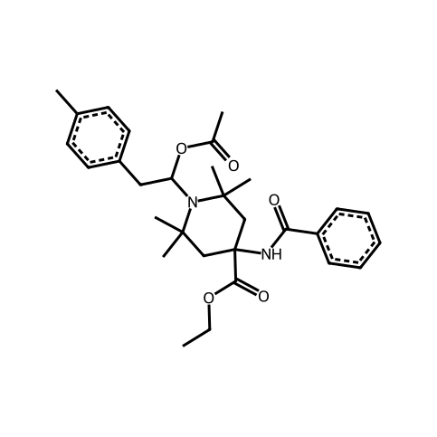 CCOC(=O)C1(NC(=O)c2ccccc2)CC(C)(C)N(C(Cc2ccc(C)cc2)OC(C)=O)C(C)(C)C1